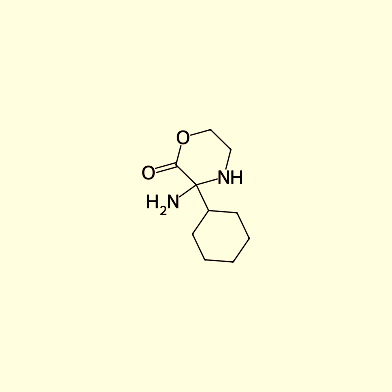 NC1(C2CCCCC2)NCCOC1=O